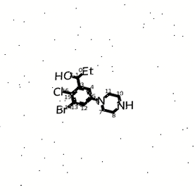 CCC(O)c1cc(N2CCNCC2)cc(Br)c1Cl